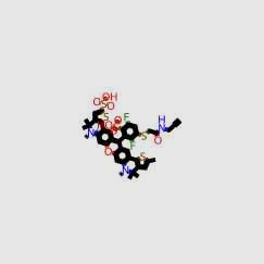 C#CCNC(=O)CSc1cc(F)c(S(=O)(=O)O)c(C2=c3cc4c(cc3Oc3cc5c(cc32)-c2sc(C)cc2C(C)(C)N5C)=[N+](C)C(C)(C)c2cc(S(=O)(=O)O)sc2-4)c1F